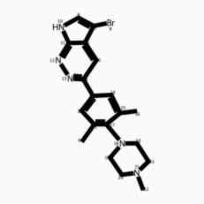 Cc1cc(-c2cc3c(Br)c[nH]c3nn2)cc(C)c1N1CCN(C)CC1